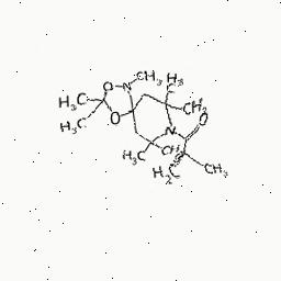 C=C(C)C(=O)N1C(C)(C)CC2(CC1(C)C)OC(C)(C)ON2C